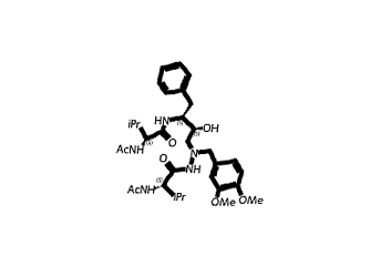 COc1ccc(CN(C[C@H](O)[C@H](Cc2ccccc2)NC(=O)[C@@H](NC(C)=O)C(C)C)NC(=O)[C@@H](NC(C)=O)C(C)C)cc1OC